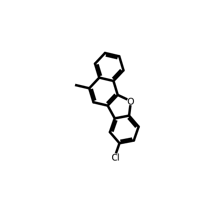 Cc1cc2c3cc(Cl)ccc3oc2c2ccccc12